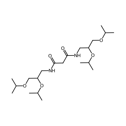 CC(C)OCC(CNC(=O)CC(=O)NCC(COC(C)C)OC(C)C)OC(C)C